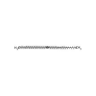 CCCCCCCCCCCCCCCCCCCCCCCCCCCCOCCCCCCCCCCCCCCCCCCCCCCCCCCC